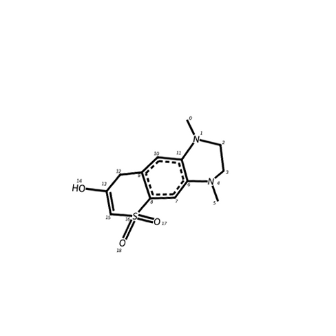 CN1CCN(C)c2cc3c(cc21)CC(O)=CS3(=O)=O